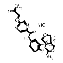 C=C(F)COc1cnc(C(=O)Nc2ccc(F)c([C@]34COC[C@@]3(F)COC(N)=N4)c2)cn1.Cl